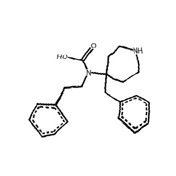 O=C(O)N(CCc1ccccc1)C1(Cc2ccccc2)CCNCC1